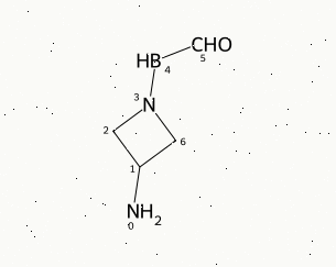 NC1CN(BC=O)C1